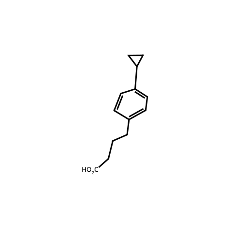 O=C(O)CCCc1ccc(C2CC2)cc1